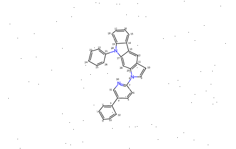 c1ccc(-c2ccc(-n3ccc4cc5c6ccccc6n(-c6ccccc6)c5cc43)nc2)cc1